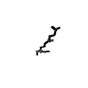 CO[SiH]([CH]CCNCCN(C)C)OC